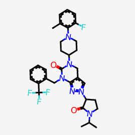 Cc1cccc(F)c1N1CCC(N2Cc3cn(C4CCN(C(C)C)C4=O)nc3N(Cc3ccccc3C(F)(F)F)C2=O)CC1